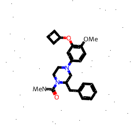 CNC(=O)N1CCN(c2ccc(OC)c(OC3CCC3)c2)CC1Cc1ccccc1